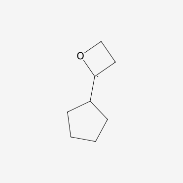 C1CCC([C]2CCO2)C1